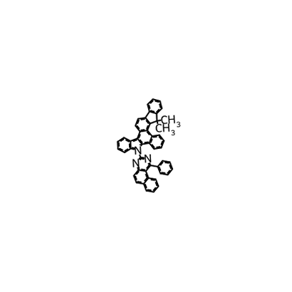 CC1(C)c2ccccc2-c2ccc3c(c21)c1ccccc1c1c3c2ccccc2n1-c1nc(-c2ccccc2)c2c(ccc3ccccc32)n1